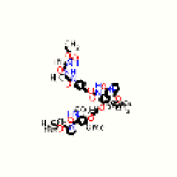 C=CCOC(=O)NC(C(=O)NC(C)C(=O)Nc1ccc(COC(=O)Nc2cc(OCCCOc3cc(NC(=O)O)c(C(=O)N4CCCC4CO[Si](C)(C)C(C)(C)C)cc3OC)c(OC)cc2C(=O)N2CCCC2CO[Si](C)(C)C(C)(C)C)cc1)C(C)C